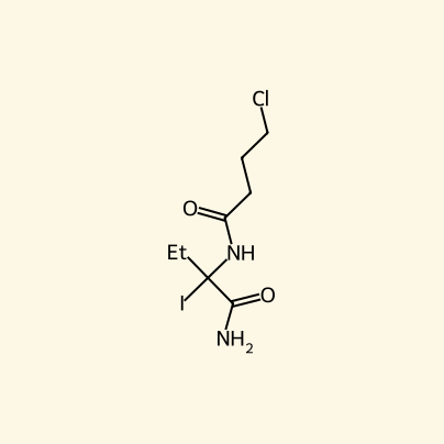 CCC(I)(NC(=O)CCCCl)C(N)=O